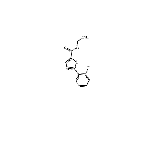 CCOC(=O)c1cnc(-c2ccccc2F)s1